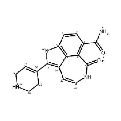 NC(=O)c1ccc2c3c1C(=O)NN=CC3=C(C1=CCNCC1)[N]2